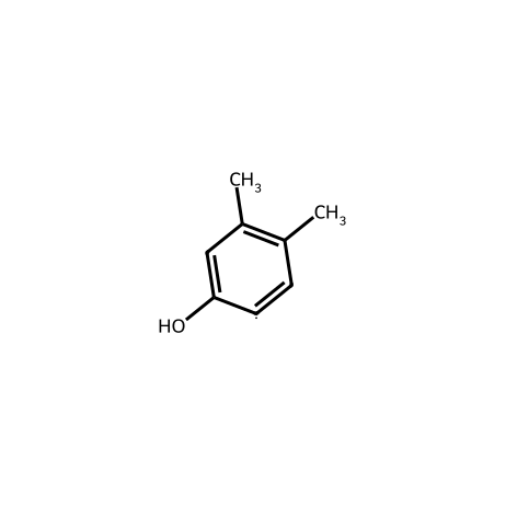 Cc1c[c]c(O)cc1C